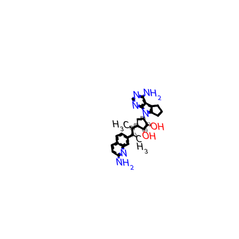 C[C@@H]([C@H]1C[C@@H](n2c3c(c4c(N)ncnc42)CCC3)[C@H](O)[C@@H]1O)[C@H](C)c1ccc2ccc(N)nc2c1